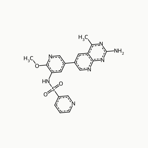 COc1ncc(-c2cnc3nc(N)nc(C)c3c2)cc1NS(=O)(=O)c1cccnc1